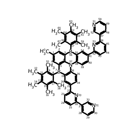 Cc1cc2c3c(c1)B(c1c(C)c(C)c(C)c(C)c1C)c1cc(-c4cccc(-c5cccnc5)n4)ccc1N3c1ccc(-c3cccc(-c4cccnc4)n3)cc1B2c1c(C)c(C)c(C)c(C)c1C